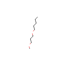 [CH2]OCCCOCCCCC